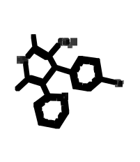 CC1=C(C(=O)O)C(c2ccc(Br)cc2)C(c2ccccn2)=C(C)N1